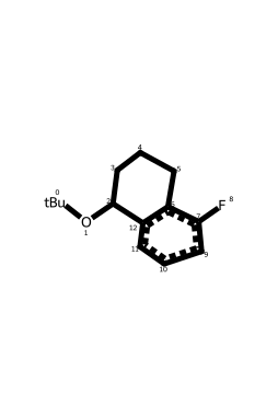 CC(C)(C)OC1CCCc2c(F)cccc21